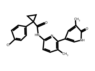 Cc1ccc(NC(=O)C2(c3ccc(Cl)cc3)CC2)nc1-c1c[nH]c(=O)c(C)c1